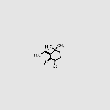 C=C1/C(=C\C)C(C)(C)CCN1CC